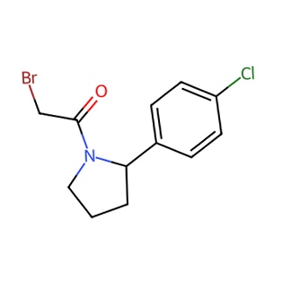 O=C(CBr)N1CCCC1c1ccc(Cl)cc1